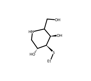 CCS[C@H]1[C@H](O)CNC(CO)[C@H]1O